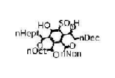 CCCCCCCCCCCC(=O)c1c(C(=O)CCCCCCCCC)c(C(=O)CCCCCCCC)c(C(=O)CCCCCCC)c(O)c1S(=O)(=O)O